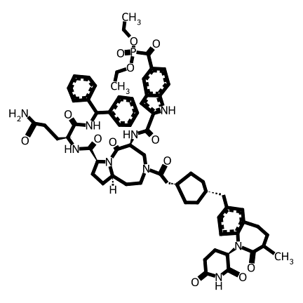 CCOP(=O)(OCC)C(=O)c1ccc2[nH]c(C(=O)N[C@H]3CN(C(=O)C[C@H]4CC[C@@H](Cc5ccc6c(c5)CCC(C)C(=O)N6[C@@H]5CCC(=O)NC5=O)CC4)CC[C@H]4CC[C@@H](C(=O)N[C@@H](CCC(N)=O)C(=O)NC(c5ccccc5)c5ccccc5)N4C3=O)cc2c1